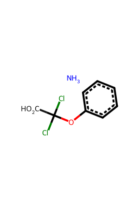 N.O=C(O)C(Cl)(Cl)Oc1ccccc1